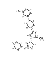 Cn1cc(-c2ccc(-c3cccc(F)c3)nc2)nc1[C@@H]1CCN(Cc2ccccc2)C1